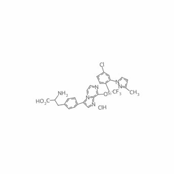 Cc1ccn(-c2cc(Cl)ccc2[C@@H](Oc2nccn3c(-c4ccc(CC(N)C(=O)O)cc4)cnc23)C(F)(F)F)n1.Cl